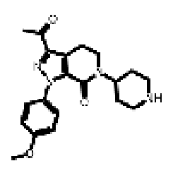 COc1ccc(-n2nc(C(C)=O)c3c2C(=O)N(C2CCNCC2)CC3)cc1